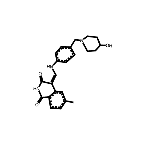 O=C1NC(=O)c2ccc(I)cc2/C1=C/Nc1ccc(CN2CCC(O)CC2)cc1